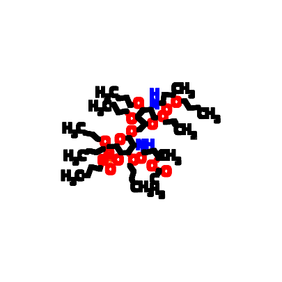 C=CCOC1OC(COC2OC(COCCCC)C(OP(=O)(OCCCC)OCCCC)C(OCCCC)C2NC(=O)C[C@@H](C)OC(C)=O)C(OCCCC)C(OCCCC)C1NC(=O)C[C@@H](C)OCCCC